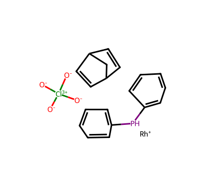 C1=CC2C=CC1C2.[O-][Cl+3]([O-])([O-])[O-].[Rh+].c1ccc(Pc2ccccc2)cc1